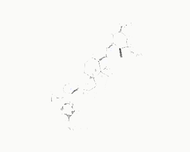 C=C1/C(=C\C=C2/CCC[C@]3(C)[C@@H]([C@H](C)/C=C/C(O)C4(c5ncc(CCCCC)o5)CC4)CC[C@@H]23)CC(O)CC1(C)O